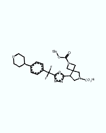 CC(C)(C)OC(=O)N1CC2(CN(C(=O)O)CC2c2nnc(C(F)(F)c3ccc(C4CCOCC4)cc3)o2)C1